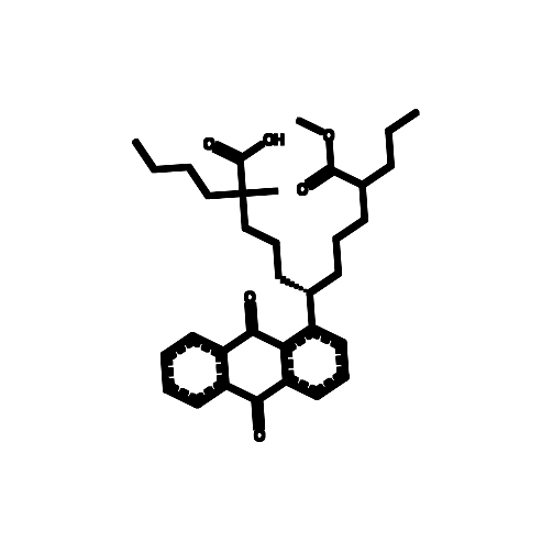 CCCCC(C)(CCC[C@H](CCCC(CCC)C(=O)OC)c1cccc2c1C(=O)c1ccccc1C2=O)C(=O)O